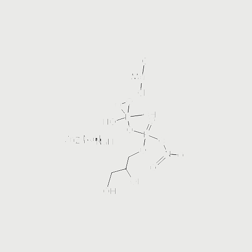 O=[N+]([O-])OP(=O)(OCC(O)CO)OP1(O)(O)OO1.[Cl][Mg][Cl].[NaH].[NaH].[Zn].[Zn]